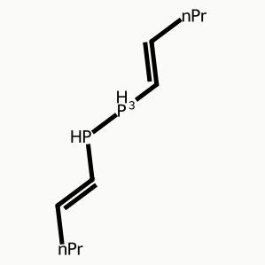 CCC/C=C/P[PH3]/C=C/CCC